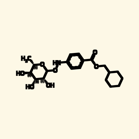 C[C@@H]1OC(ONc2ccc(C(=O)OCC3CCCCC3)cc2)[C@H](O)[C@H](O)[C@H]1O